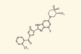 C[C@H]1CN(c2cc(F)c3nc(-c4cc(C(=O)c5ccccc5C(F)(F)F)c[nH]4)[nH]c3c2)CCS1(=O)=O